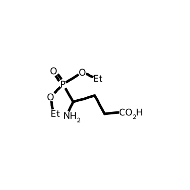 CCOP(=O)(OCC)C(N)CCC(=O)O